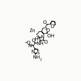 CO/N=C(\C(=O)N[C@@H]1C(=O)N2C(C(=O)O)=C(CSC(=O)c3ccco3)CS[C@H]12)c1csc(N)n1.[Zn]